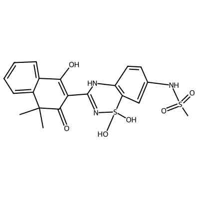 CC1(C)C(=O)C(C2=NS(O)(O)c3cc(NS(C)(=O)=O)ccc3N2)=C(O)c2ccccc21